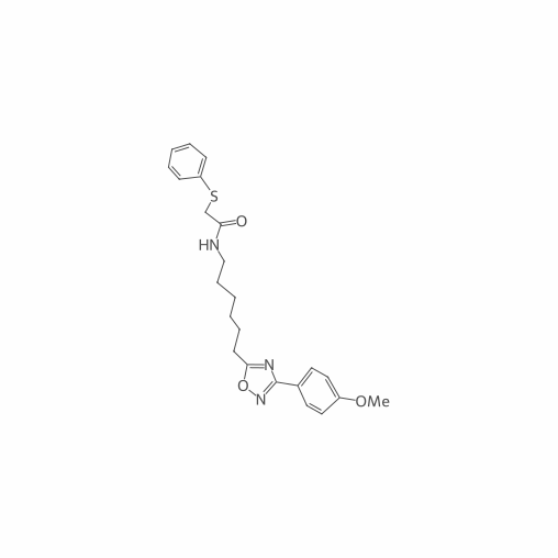 COc1ccc(-c2noc(CCCCCCNC(=O)CSc3ccccc3)n2)cc1